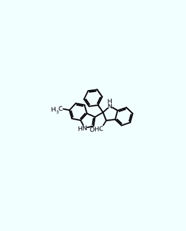 Cc1ccc2c(C3(c4ccccc4)Nc4ccccc4C3C=O)c[nH]c2c1